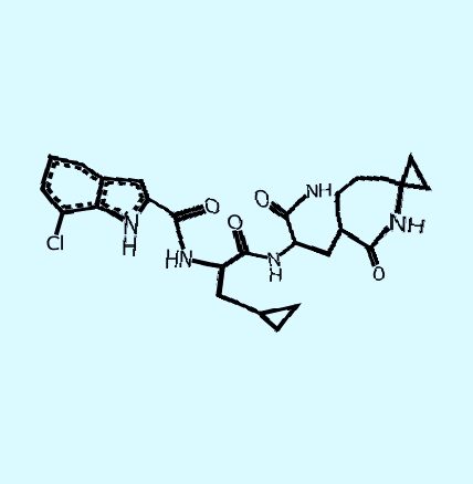 NC(=O)C(CC1CCC2(CC2)NC1=O)NC(=O)C(CC1CC1)NC(=O)c1cc2cccc(Cl)c2[nH]1